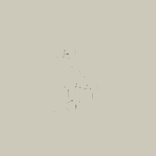 CC(C)(Oc1ccc(Cl)cc1)C(=N)N(C#N)C1C2CC3CC1CC(CS(N)(=O)=O)(C3)C2